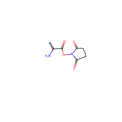 C=C(N)C(=O)ON1C(=O)CCC1=O